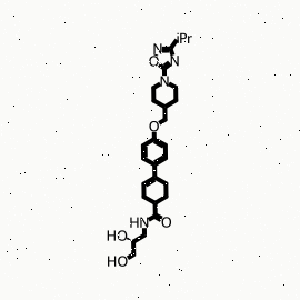 CC(C)c1noc(N2CCC(COc3ccc(C4=CCC(C(=O)NC[C@@H](O)CO)CC4)cc3)CC2)n1